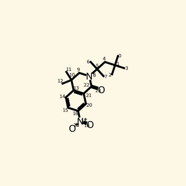 CC(C)(C)CC(C)(C)N1CC(C)(C)c2ccc([N+](=O)[O-])cc2C1=O